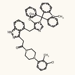 COc1ccccc1C(c1ccccc1)(c1ccccc1)n1cnc(Cc2cccc3[nH]nc(CC(=O)N4CCN(c5cccc(Cl)c5C)CC4)c23)c1OC